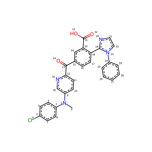 CN(c1ccc(Cl)cc1)c1ccc(C(=O)c2ccc(-c3nccn3-c3ccccc3)c(C(=O)O)c2)nc1